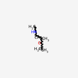 C=CCCNCC=C(C)CCC=C(C)CCC(=O)CCC=C(C)C